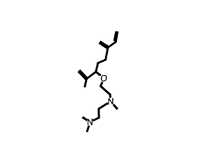 C=CC(=C)CCC(OCCN(C)CCN(C)C)C(=C)C